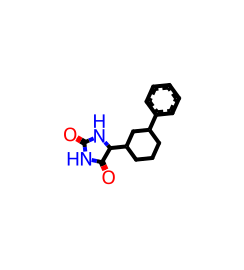 O=C1NC(=O)C(C2CCCC(c3ccccc3)C2)N1